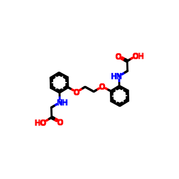 O=C(O)CNc1ccccc1OCCOc1ccccc1NCC(=O)O